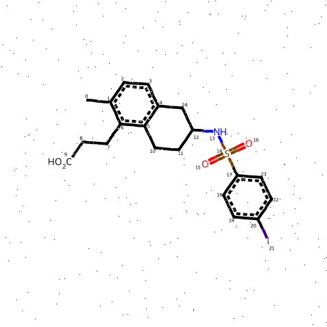 Cc1ccc2c(c1CCC(=O)O)CCC(NS(=O)(=O)c1ccc(I)cc1)C2